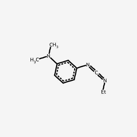 CCN=C=Nc1cccc(N(C)C)c1